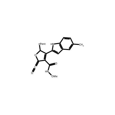 CCCCCC1OC(=C=O)C(C(=O)NOC)=C1c1cc2cc(C)ccc2[nH]1